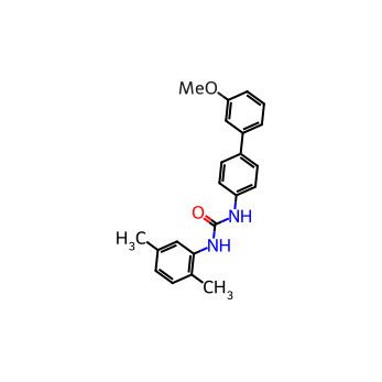 COc1cccc(-c2ccc(NC(=O)Nc3cc(C)ccc3C)cc2)c1